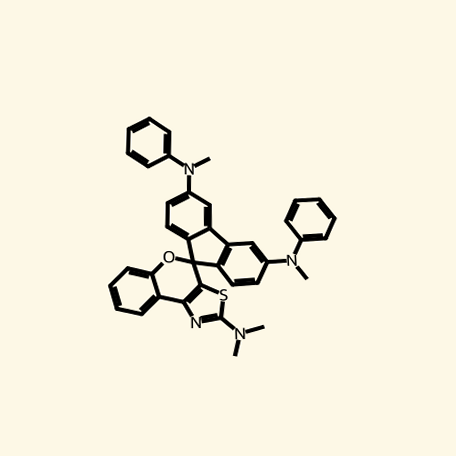 CN(C)c1nc2c(s1)C1(Oc3ccccc3-2)c2ccc(N(C)c3ccccc3)cc2-c2cc(N(C)c3ccccc3)ccc21